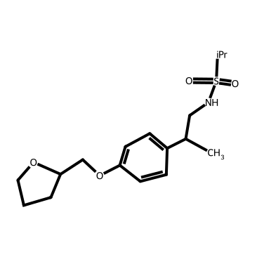 CC(CNS(=O)(=O)C(C)C)c1ccc(OCC2CCCO2)cc1